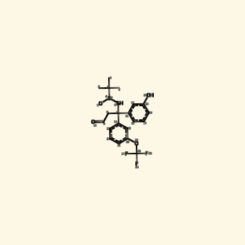 CC(C)(C)[S+]([O-])NC(CC=O)(c1cccc(O)c1)c1cccc(OC(F)(F)F)c1